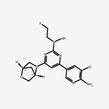 CCCN(CCF)c1nc(-c2cnc(N)c(Cl)c2)cc(N2C[C@@H]3C[C@H]2CO3)n1